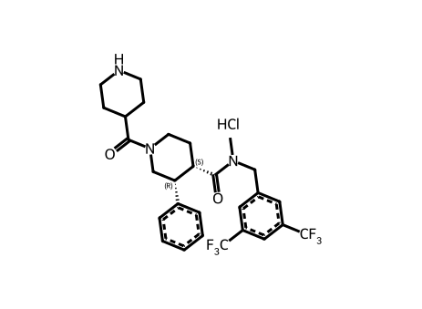 CN(Cc1cc(C(F)(F)F)cc(C(F)(F)F)c1)C(=O)[C@H]1CCN(C(=O)C2CCNCC2)C[C@H]1c1ccccc1.Cl